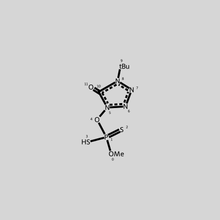 COP(=S)(S)On1nnn(C(C)(C)C)c1=O